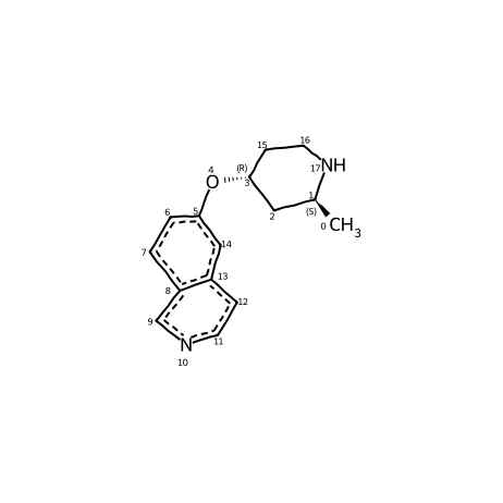 C[C@H]1C[C@H](Oc2ccc3cnccc3c2)CCN1